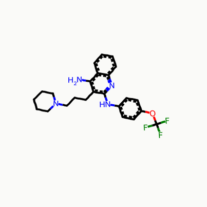 Nc1c(CCCN2CCCCC2)c(Nc2ccc(OC(F)(F)F)cc2)nc2ccccc12